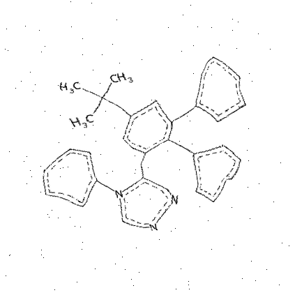 CC(C)(C)c1cc(-c2ccccc2)c(-c2ccccc2)c(-c2nncn2-c2ccccc2)c1